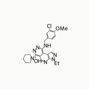 CCn1ncc2c3c(NCc4ccc(OC)c(Cl)c4)nnc([N+]4(O)CC[CH]CC4)c3cnc21